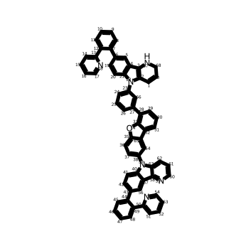 C1=Cc2c(c3cc(-c4ccccc4-c4ccccn4)ccc3n2-c2cccc(-c3cccc4c3oc3ccc(-n5c6ccc(-c7ccccc7-c7ccccn7)cc6c6ncccc65)cc34)c2)NC1